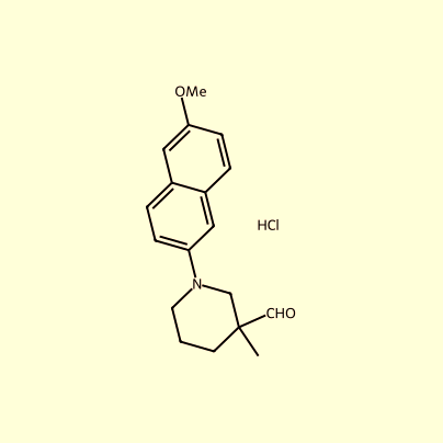 COc1ccc2cc(N3CCCC(C)(C=O)C3)ccc2c1.Cl